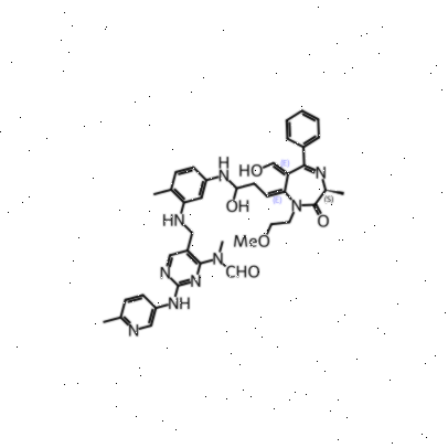 COCCN1C(=O)[C@H](C)N=C(c2ccccc2)C(=C/O)/C1=C\CC(O)Nc1ccc(C)c(NCc2cnc(Nc3ccc(C)nc3)nc2N(C)C=O)c1